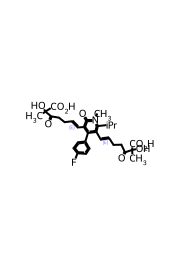 CC(C)c1c(/C=C/CCC(=O)C(C)(O)C(=O)O)c(-c2ccc(F)cc2)c(/C=C/CCC(=O)C(C)(O)C(=O)O)c(=O)n1C